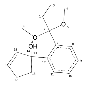 CCC(OC)(OC)c1ccccc1C1(O)C=CCC1